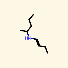 CC/C=C/NC(C)CCC